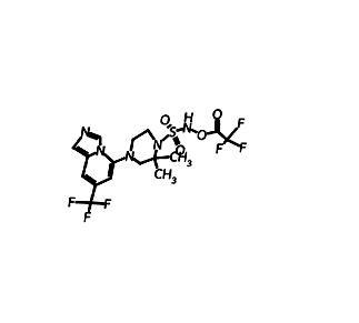 CC1(C)CN(c2cc(C(F)(F)F)cc3cncn23)CCN1S(=O)(=O)NOC(=O)C(F)(F)F